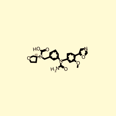 COc1cc(N(C(N)=O)c2cccc(CN(C(=O)O)[C@H]3CCOC3)c2)ccc1-c1cnco1